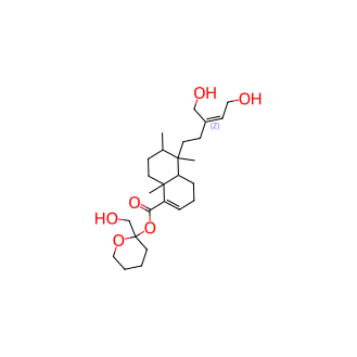 CC1CCC2(C)C(C(=O)OC3(CO)CCCCO3)=CCCC2C1(C)CC/C(=C/CO)CO